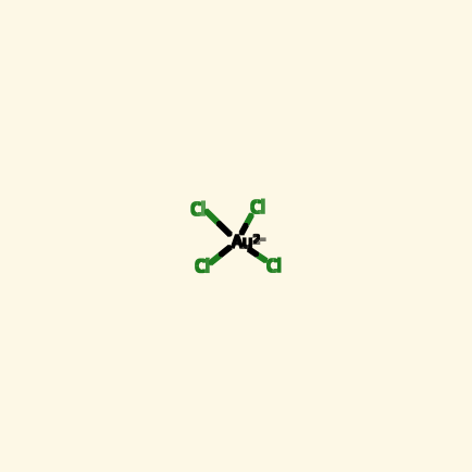 [Cl][Au-2]([Cl])([Cl])[Cl]